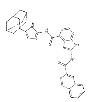 O=C(Nc1nc2c(C(=O)Nc3ncc(C45CC6CC(CC(C6)C4)C5)[nH]3)cccc2[nH]1)c1cc2ccccc2cn1